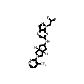 FC(F)Cn1ncc2ncc(NC3C[C@@H]4CN(c5nnccc5C(F)(F)F)C[C@@H]4C3)nc21